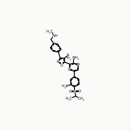 Bc1cc(-c2cnc(N)c(-c3onc(-c4ccc(CNC)cc4)c3B)n2)ccc1S(=O)(=O)C(C)C